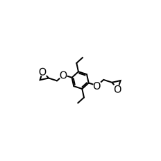 CCc1cc(OCC2CO2)c(CC)cc1OCC1CO1